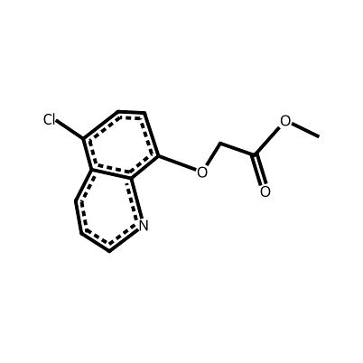 COC(=O)COc1ccc(Cl)c2cccnc12